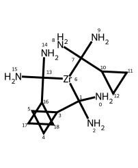 N[C](N)(C1CC1)[Zr]([C](N)(N)C1CC1)[C](N)(N)C1CC1